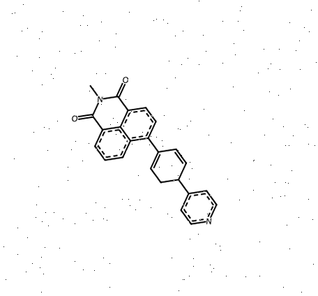 CN1C(=O)c2cccc3c(C4=CCC(c5ccncc5)C=C4)ccc(c23)C1=O